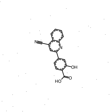 N#Cc1cc(-c2ccc(C(=O)O)c(O)c2)nc2ccccc12